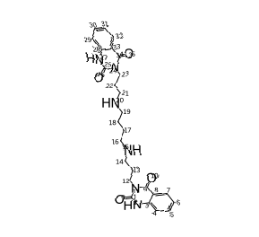 O=c1[nH]c2ccccc2c(=O)n1CCCNCCCCNCCCn1c(=O)[nH]c2ccccc2c1=O